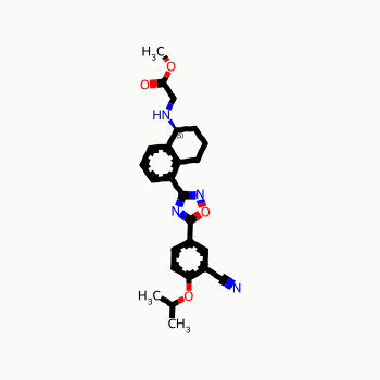 COC(=O)CN[C@H]1CCCc2c(-c3noc(-c4ccc(OC(C)C)c(C#N)c4)n3)cccc21